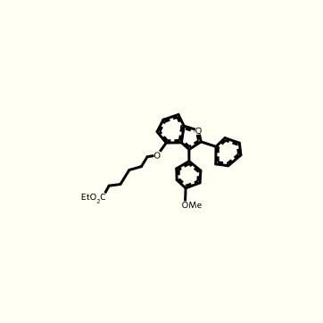 CCOC(=O)CCCCCOc1cccc2oc(-c3ccccc3)c(-c3ccc(OC)cc3)c12